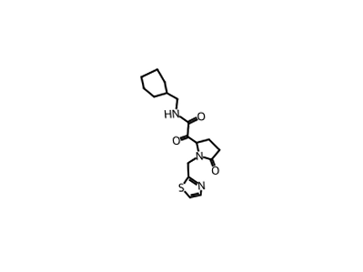 O=C(NCC1CCCCC1)C(=O)C1CCC(=O)N1Cc1nccs1